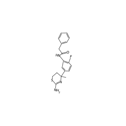 CC1(c2ccc(F)c(NC(=O)Cc3ccccc3)c2)CCSC(N)=N1